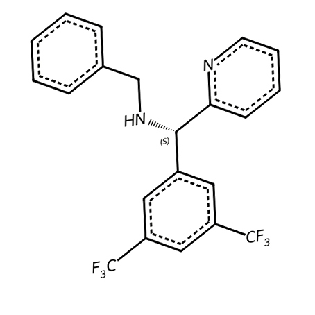 FC(F)(F)c1cc([C@H](NCc2ccccc2)c2ccccn2)cc(C(F)(F)F)c1